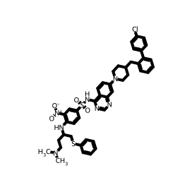 CN(C)CCC(CSc1ccccc1)Nc1ccc(S(=O)(=O)Nc2ncnc3cc(N4CCC(Cc5ccccc5-c5ccc(Cl)cc5)CC4)ccc23)cc1[N+](=O)[O-]